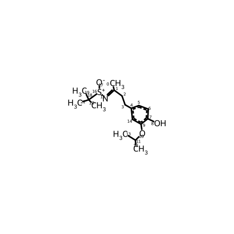 CC(CCc1ccc(O)c(OC(C)C)c1)=N[S+]([O-])C(C)(C)C